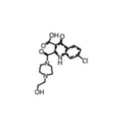 O=C(O)c1c(C(=O)N2CCN(CCO)CC2)[nH]c2cc(Cl)ccc2c1=O